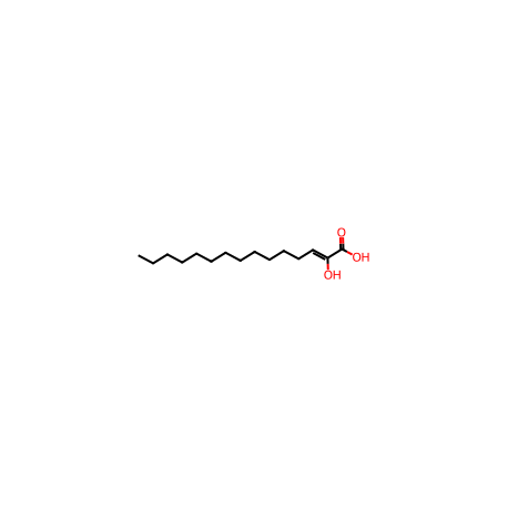 CCCCCCCCCCCC/C=C(\O)C(=O)O